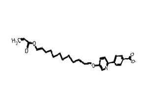 C=CC(=O)OCCCCCCCCCCCCOc1ccc(-c2ccc(C([O])=O)cc2)nc1